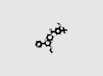 CCOC1CC(c2cccnc2)OC2(CCN(C(=O)c3ccc(C(C)(C)C)c(OC)c3)CC2)C1